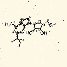 COC(C)c1nc(N)c2ncn([C@@H]3O[C@H](CO)C(O)C3O)c2n1